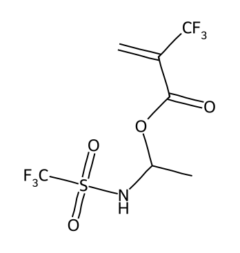 C=C(C(=O)OC(C)NS(=O)(=O)C(F)(F)F)C(F)(F)F